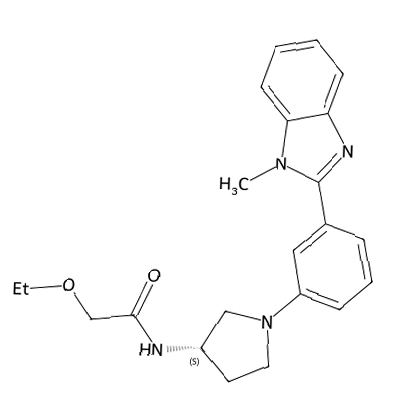 CCOCC(=O)N[C@H]1CCN(c2cccc(-c3nc4ccccc4n3C)c2)C1